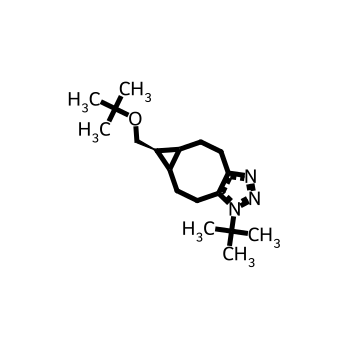 CC(C)(C)OC[C@H]1C2CCc3nnn(C(C)(C)C)c3CCC21